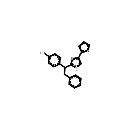 Oc1ccc(C(Cc2ccccc2)c2nc(-c3cccs3)c[nH]2)cc1